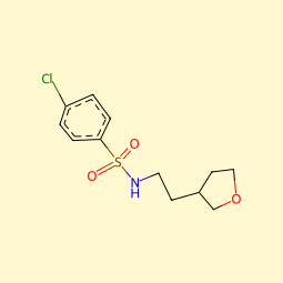 O=S(=O)(NCCC1CCOC1)c1ccc(Cl)cc1